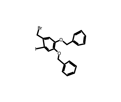 BrCc1cc(OCc2ccccc2)c(OCc2ccccc2)cc1I